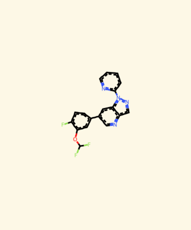 Fc1ccc(-c2cnc3cnn(-c4ccccn4)c3c2)cc1OC(F)F